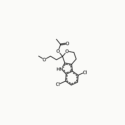 COCCC1(OC(C)=O)OCCc2c1[nH]c1c(Cl)ccc(Cl)c21